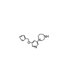 c1ccc(COc2cncc(N3CCCNCC3)c2)cc1